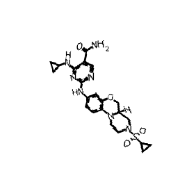 NC(=O)c1cnc(Nc2ccc3c(c2)OC[C@@H]2CN(S(=O)(=O)C4CC4)CCN32)nc1NC1CC1